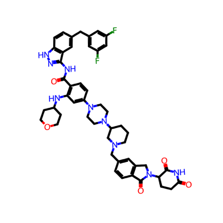 O=C1CCC(N2Cc3cc(CN4CCCC(N5CCN(c6ccc(C(=O)Nc7n[nH]c8ccc(Cc9cc(F)cc(F)c9)cc78)c(NC7CCOCC7)c6)CC5)C4)ccc3C2=O)C(=O)N1